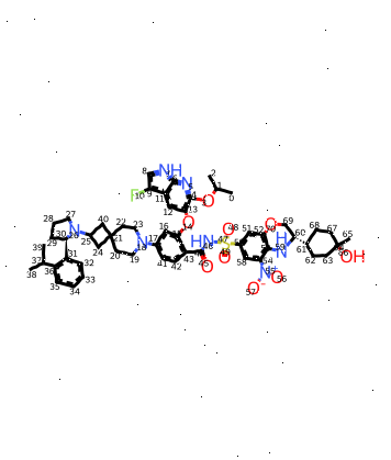 CC(C)Oc1nc2[nH]cc(F)c2cc1Oc1cc(N2CCC3(CC2)CC(N2CCC[C@@H]2c2ccccc2C(C)C)C3)ccc1C(=O)NS(=O)(=O)c1cc2c(c([N+](=O)[O-])c1)N[C@@H](C1CCC(C)(O)CC1)CO2